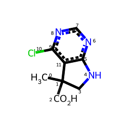 CC1(C(=O)O)CNc2ncnc(Cl)c21